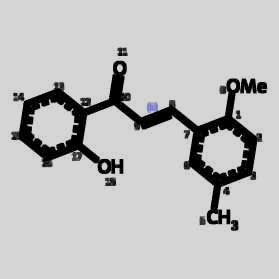 COc1ccc(C)cc1/C=C/C(=O)c1ccccc1O